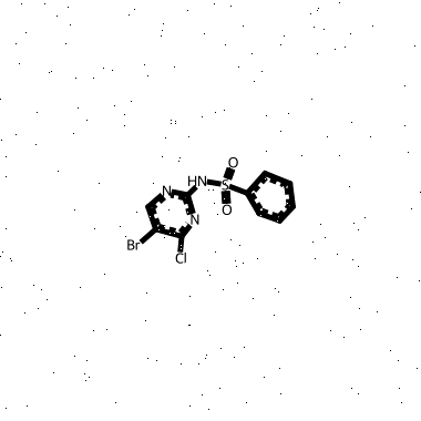 O=S(=O)(Nc1ncc(Br)c(Cl)n1)c1ccccc1